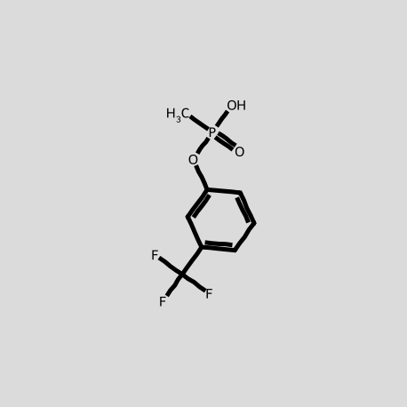 CP(=O)(O)Oc1cccc(C(F)(F)F)c1